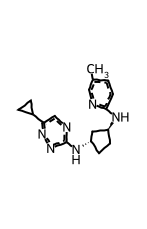 Cc1ccc(N[C@H]2CC[C@H](Nc3ncc(C4CC4)nn3)C2)nc1